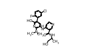 CC(CO)NC(=O)c1cnccc1Nc1cc(-c2cc(Cl)ccc2F)c(O)nc1N(C)C